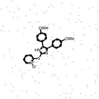 COc1ccc(-c2nc(Sc3cccc[n+]3[O-])[nH]c2-c2ccc(OC)cc2)cc1